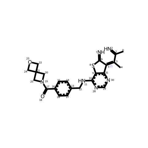 CC(=N)/C(C)=C1\C(=N)Sc2c(NCc3ccc(C(=O)N4CC5(COC5)C4)cc3)ncnc21